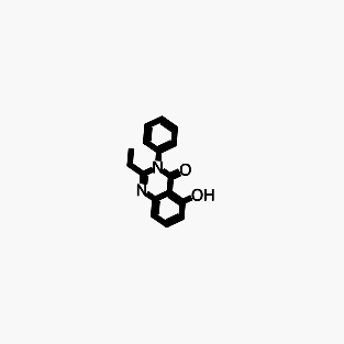 CCc1nc2cccc(O)c2c(=O)n1-c1ccccc1